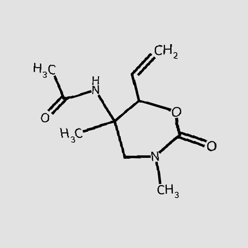 C=CC1OC(=O)N(C)CC1(C)NC(C)=O